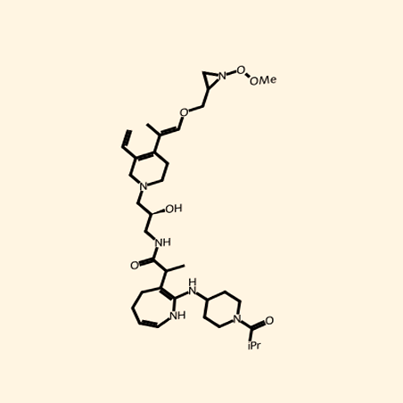 C=CC1=C(/C(C)=C/OCC2CN2OOC)CCN(C[C@@H](O)CNC(=O)C(C)C2=C(NC3CCN(C(=O)C(C)C)CC3)NC=CCC2)C1